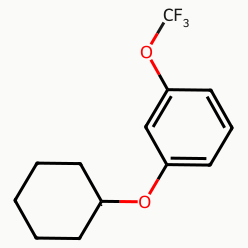 FC(F)(F)Oc1cccc(O[C]2CCCCC2)c1